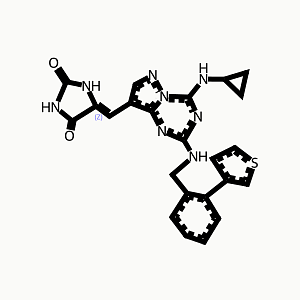 O=C1NC(=O)/C(=C/c2cnn3c(NC4CC4)nc(NCc4ccccc4-c4ccsc4)nc23)N1